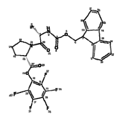 CC(C)[C@H](NC(=O)OCC1c2ccccc2-c2ccccc21)C(=O)N1CCC[C@H]1C(=O)Oc1c(F)c(F)c(F)c(F)c1F